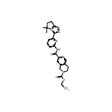 CC1(C)CCc2nnc(-c3cccc(NC(=O)c4cc5c(cn4)CCN(C(=O)OCC(F)(F)F)C5)n3)n21